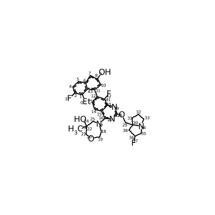 CCc1c(F)ccc2cc(O)cc(-c3ccc4c(N5CCOCC(C)(O)C5)nc(OCC56CCCN5CC(F)C6)nc4c3F)c12